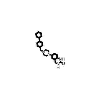 O=C1NCc2cc(N3CCN(Cc4ccc(-c5ccccc5)cc4)CC3)ccc2N1